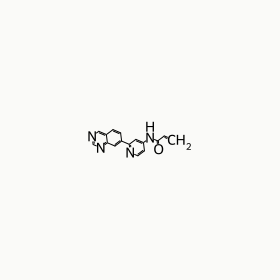 C=CC(=O)Nc1ccnc(-c2ccc3cncnc3c2)c1